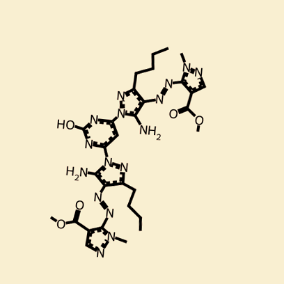 CCCCc1nn(-c2cc(-n3nc(CCCC)c(/N=N/c4c(C(=O)OC)cnn4C)c3N)nc(O)n2)c(N)c1/N=N/c1c(C(=O)OC)cnn1C